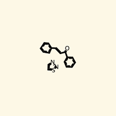 O=C(C=Cc1ccccc1)c1ccccc1.c1csnn1